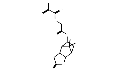 C=C(C)C(=O)OCC(=O)OC1CC2C3OC(=O)CC3C1C2(C)C